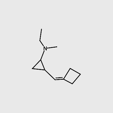 CCN(C)C1CC1C=C1CCC1